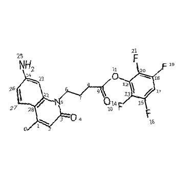 Cc1cc(=O)n(CCCC(=O)Oc2c(F)c(F)cc(F)c2F)c2cc(N)ccc12